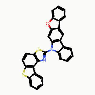 c1ccc2c(c1)oc1cc3c(cc12)c1ccccc1n3-c1nc2c(ccc3sc4ccccc4c32)s1